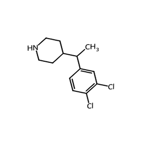 CC(c1ccc(Cl)c(Cl)c1)C1CCNCC1